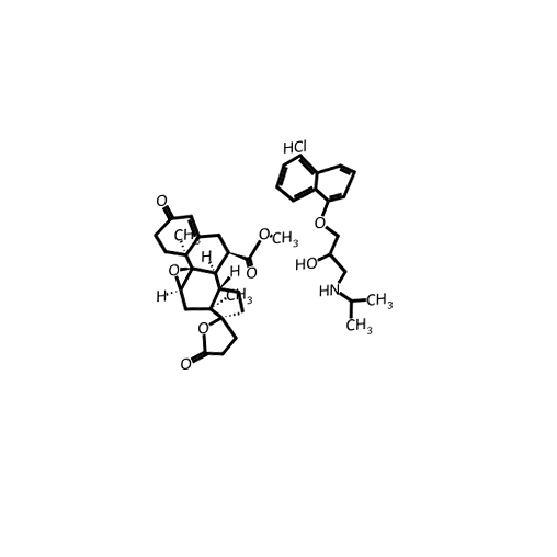 CC(C)NCC(O)COc1cccc2ccccc12.COC(=O)[C@@H]1CC2=CC(=O)CC[C@]2(C)[C@@]23O[C@@H]2C[C@@]2(C)[C@@H](CC[C@@]24CCC(=O)O4)[C@H]13.Cl